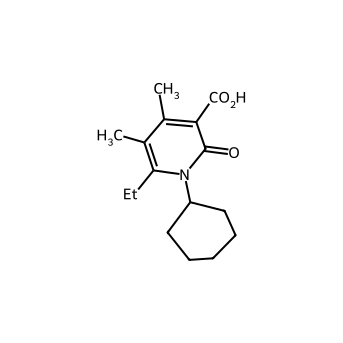 CCc1c(C)c(C)c(C(=O)O)c(=O)n1C1CCCCC1